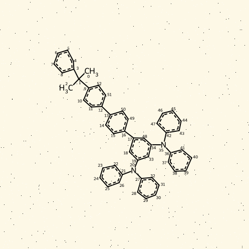 CC(C)(c1ccccc1)c1ccc(-c2ccc(-c3cc(N(c4ccccc4)c4ccccc4)cc(N(c4ccccc4)c4ccccc4)c3)cc2)cc1